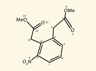 COC(=O)Cc1cccc([N+](=O)[O-])c1CC(=O)OC